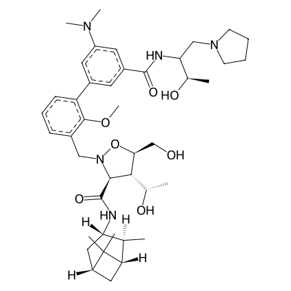 COc1c(CN2O[C@@H](CO)[C@H]([C@H](C)O)[C@H]2C(=O)N[C@H]2C[C@H]3C[C@@H]([C@@H]2C)C3(C)C)cccc1-c1cc(C(=O)NC(CN2CCCC2)[C@@H](C)O)cc(N(C)C)c1